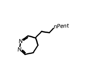 CCCCCCCC1C=NN=CCC1